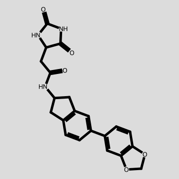 O=C(CC1NC(=O)NC1=O)NC1Cc2ccc(-c3ccc4c(c3)OCO4)cc2C1